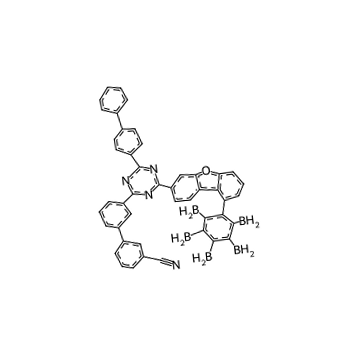 Bc1c(B)c(B)c(-c2cccc3oc4cc(-c5nc(-c6ccc(-c7ccccc7)cc6)nc(-c6cccc(-c7cccc(C#N)c7)c6)n5)ccc4c23)c(B)c1B